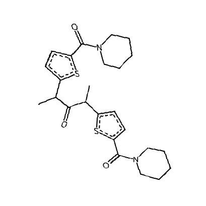 CC(C(=O)C(C)c1ccc(C(=O)N2CCCCC2)s1)c1ccc(C(=O)N2CCCCC2)s1